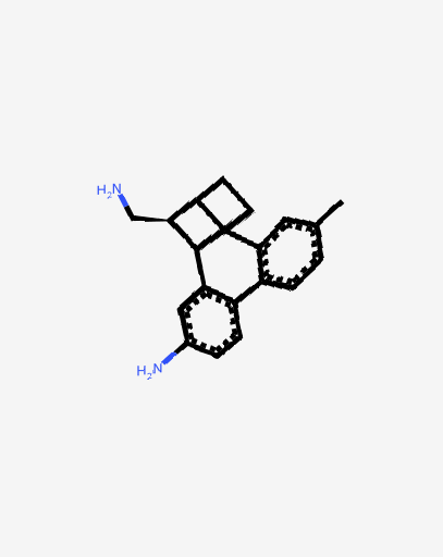 Cc1ccc2c(c1)C13CCC1[C@H](CN)C3c1cc(N)ccc1-2